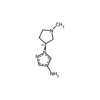 CN1CC[C@H](n2cc(N)cn2)C1